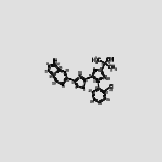 CC(C)(O)c1cc(-c2ccc(-c3ccc4cc[nH]c4c3)s2)n(-c2ccccc2Cl)n1